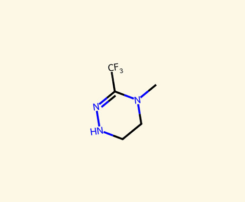 CN1CCNN=C1C(F)(F)F